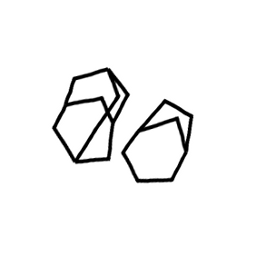 C1C2CC3CC1CC(C2)C3.C1CC2CCC(C1)C2